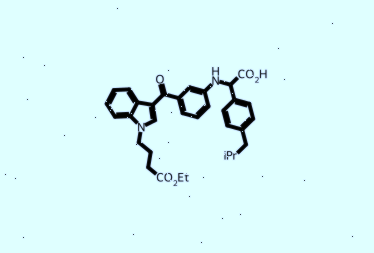 CCOC(=O)CCCn1cc(C(=O)c2cccc(NC(C(=O)O)c3ccc(CC(C)C)cc3)c2)c2ccccc21